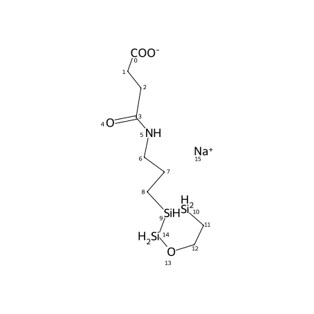 O=C([O-])CCC(=O)NCCC[SiH]1[SiH2]CCO[SiH2]1.[Na+]